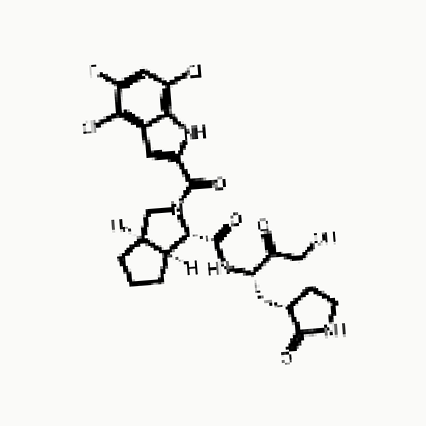 O=C1NCC[C@H]1C[C@H](NC(=O)[C@@H]1[C@H]2CCC[C@H]2CN1C(=O)c1cc2c(Cl)c(F)cc(Cl)c2[nH]1)C(=O)CO